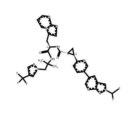 CC(C)(Cn1cc(C(F)(F)F)cn1)NC(=O)[C@@H](Cc1cnc2ncccn12)NC(=O)[C@@H]1C[C@H]1c1ccc(-c2cnc3nn(C(F)F)cc3c2)cn1